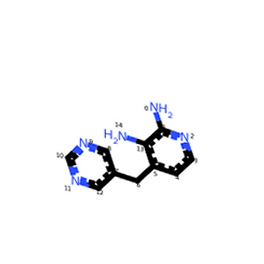 Nc1nccc(Cc2cncnc2)c1N